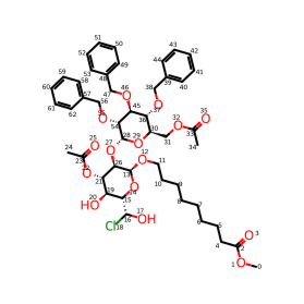 COC(=O)CCCCCCCCO[C@H]1O[C@H](C(O)Cl)[C@@H](O)[C@H](OC(C)=O)[C@H]1O[C@H]1O[C@H](COC(C)=O)[C@@H](OCc2ccccc2)[C@H](OCc2ccccc2)[C@H]1OCc1ccccc1